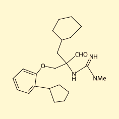 CNC(=N)NC(C=O)(COc1ccccc1C1CCCC1)CC1CCCCC1